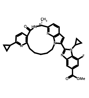 COC(=O)c1cc(F)c2c(c1)nc(-c1cc3ccc4nc3n1CCCCCc1nc(C3CC3)ccc1C(=O)N[C@@H]4C)n2C1CC1